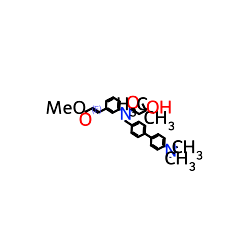 COC(=O)/C=C/c1cccc(N(Cc2ccc(-c3ccc(N(C)C)cc3)cc2)C(=O)CC(C)(C)O)c1